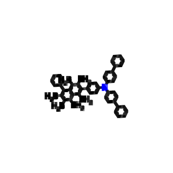 Bc1c(B)c(-c2ccccc2)c2c(B)c(B)c(-c3ccc(N(c4ccc(-c5ccccc5)cc4)c4ccc(-c5ccccc5)cc4)cc3)c(B)c2c1B